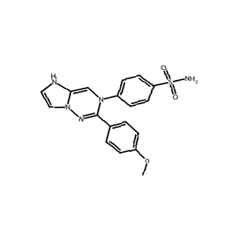 COc1ccc(C2=NN3C=CNC3=CN2c2ccc(S(N)(=O)=O)cc2)cc1